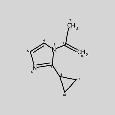 C=C(C)n1ccnc1C1CC1